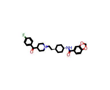 O=C(N[C@H]1CC[C@H](CCN2CCC(C(=O)c3ccc(F)cc3)CC2)CC1)c1ccc2c(c1)OCO2